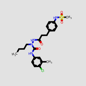 CCCCN(NC(=O)CCc1ccc(NS(C)(=O)=O)cc1)C(=O)Nc1ccc(Cl)c(C)c1